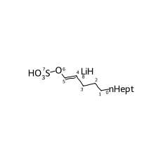 CCCCCCCCCCC=COS(=O)(=O)O.[LiH]